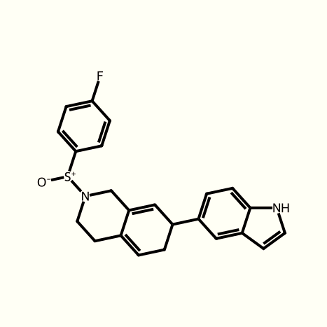 [O-][S+](c1ccc(F)cc1)N1CCC2=CCC(c3ccc4[nH]ccc4c3)C=C2C1